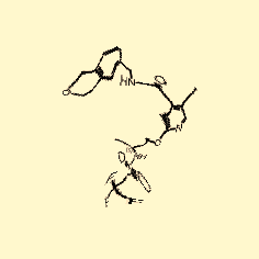 Cc1cnc(OC[C@H](C)NS(=O)(=O)C(F)(F)F)cc1C(=O)NCc1ccc2c(c1)COC2